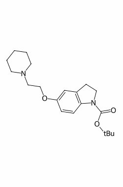 CC(C)(C)OC(=O)N1CCc2cc(OCCN3CCCCC3)ccc21